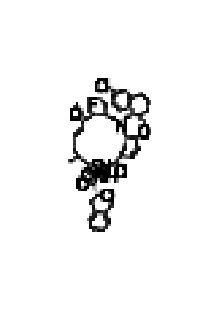 CC[C@H]1CN2C[C@@]3(CCCc4cc(Cl)ccc43)COc3ccc(cc32)C(=O)N=[S@](=O)(NC(=O)[C@H]2Cc3ccccc3CO2)C[C@@H](C)C/C=C/[C@H](OC)[C@@H]1F